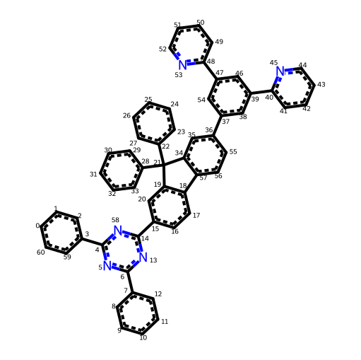 c1ccc(-c2nc(-c3ccccc3)nc(-c3ccc4c(c3)C(c3ccccc3)(c3ccccc3)c3cc(-c5cc(-c6ccccn6)cc(-c6ccccn6)c5)ccc3-4)n2)cc1